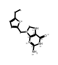 CCc1ccc(CN2CNc3c2nc(N)[nH]c3=O)s1